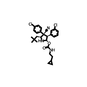 CC(C)(C)C[C@@H]1N[C@H](OC(=O)NCCC2CC2)[C@H](c2cccc(Cl)c2)[C@@]1(C#N)c1ccc(Cl)cc1